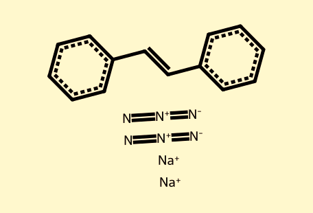 C(=Cc1ccccc1)c1ccccc1.[N-]=[N+]=[N-].[N-]=[N+]=[N-].[Na+].[Na+]